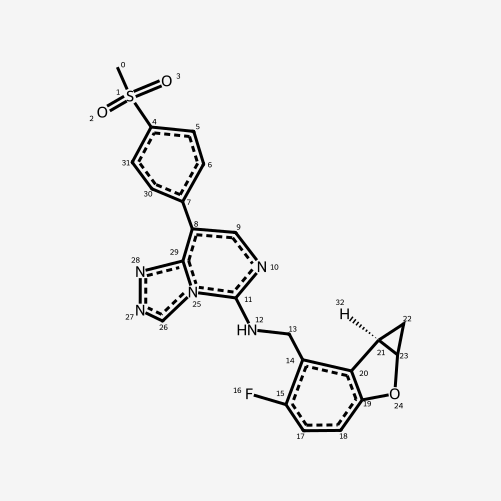 CS(=O)(=O)c1ccc(-c2cnc(NCc3c(F)ccc4c3[C@H]3CC3O4)n3cnnc23)cc1